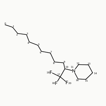 CCCCCCCCCCC(N1CCCCC1)C(F)(F)F